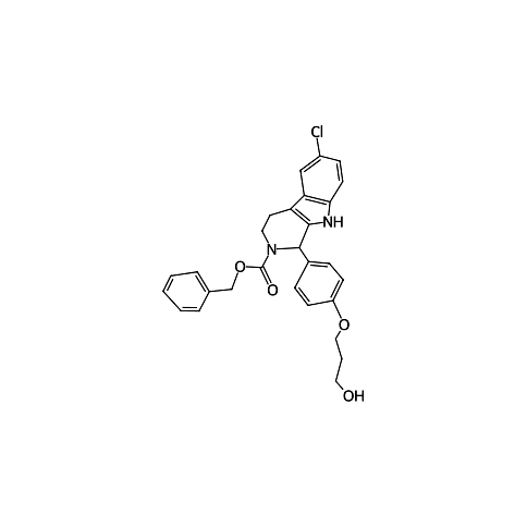 O=C(OCc1ccccc1)N1CCc2c([nH]c3ccc(Cl)cc23)C1c1ccc(OCCCO)cc1